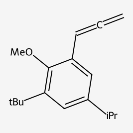 C=C=Cc1cc(C(C)C)cc(C(C)(C)C)c1OC